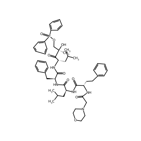 CC(C)C[C@H](NC(=O)[C@H](CCc1ccccc1)NC(=O)CN1CCOCC1)C(=O)N[C@@H](Cc1ccccc1)C(=O)N[C@@H](CC(C)C)C(=O)[C@](C)(O)COP(=O)(c1ccccc1)c1ccccc1